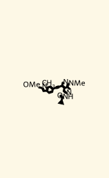 CNc1ncc(C#Cc2ccc3cc(COC)n(C)c3c2)c2cc(NC(=O)C3CC3)ncc12